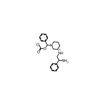 NC(CN[C@H]1CCCN(C(OC(=O)Cl)c2ccccc2)C1)c1ccccc1